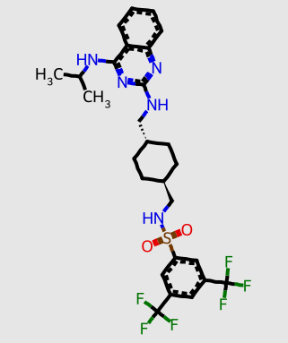 CC(C)Nc1nc(NC[C@H]2CC[C@H](CNS(=O)(=O)c3cc(C(F)(F)F)cc(C(F)(F)F)c3)CC2)nc2ccccc12